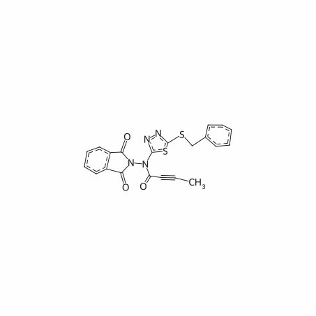 CC#CC(=O)N(c1nnc(SCc2ccccc2)s1)N1C(=O)c2ccccc2C1=O